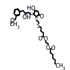 CCCCCCC(=O)OCCOC(=O)CCCSCC[C@H]1C(=O)C[C@@H](O)[C@H]1/C=C/[C@@H](O)Cc1cccc(COC)c1